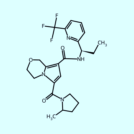 CC[C@@H](NC(=O)c1cc(C(=O)N2CCCC2C)n2c1COCC2)c1cccc(C(F)(F)F)n1